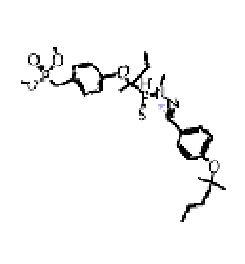 CCCC(C)(C)Oc1ccc(/C=N/N(C)[PH](=S)C(C)(CC)Oc2ccc(CP(=O)(OC)OC)cc2)cc1